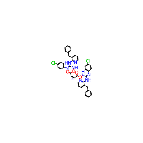 O=C(/C=C\C(=O)ONC(=Nc1ccc(Cl)cc1)Nc1ncccc1Cc1ccccc1)ONC(=Nc1ccc(Cl)cc1)Nc1ncccc1Cc1ccccc1